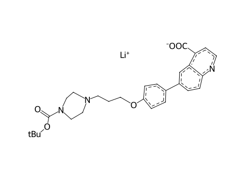 CC(C)(C)OC(=O)N1CCN(CCCOc2ccc(-c3ccc4nccc(C(=O)[O-])c4c3)cc2)CC1.[Li+]